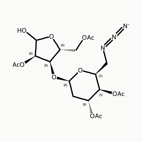 CC(=O)OC[C@H]1OC(O)[C@H](OC(C)=O)[C@@H]1O[C@@H]1C[C@@H](OC(C)=O)[C@H](OC(C)=O)[C@H](CN=[N+]=[N-])O1